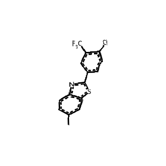 Cc1ccc2nc(-c3ccc(Cl)c(C(F)(F)F)c3)sc2c1